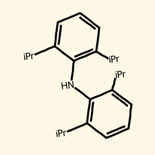 CC(C)c1cccc(C(C)C)c1Nc1c(C(C)C)cccc1C(C)C